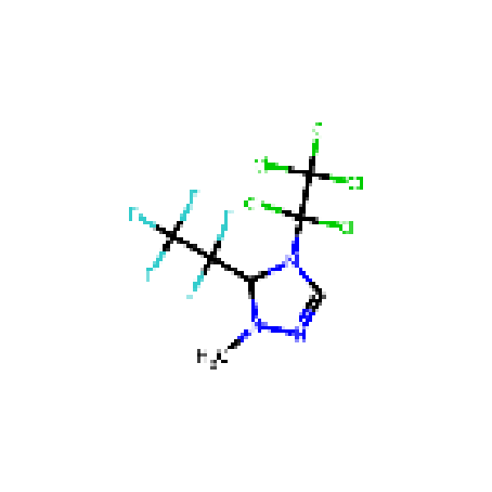 CN1N=CN(C(Cl)(Cl)C(Cl)(Cl)Cl)C1C(F)(F)C(F)(F)F